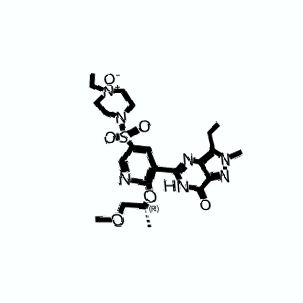 CCc1c2nc(-c3cc(S(=O)(=O)N4CC[N+]([O-])(CC)CC4)cnc3O[C@H](C)COC)[nH]c(=O)c2nn1C